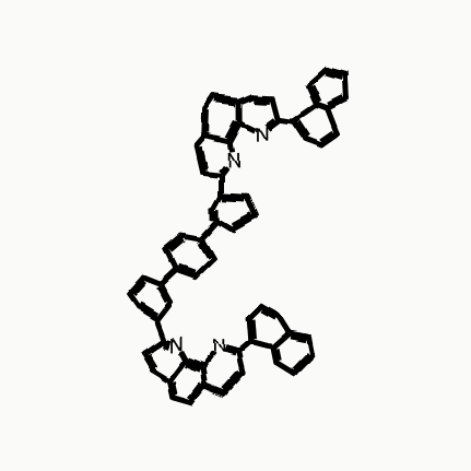 c1cc(-c2ccc(-c3cccc(-c4ccc5ccc6ccc(-c7cccc8ccccc78)nc6c5n4)c3)cc2)cc(-c2ccc3ccc4ccc(-c5cccc6ccccc56)nc4c3n2)c1